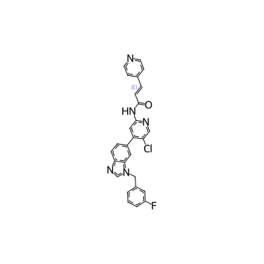 O=C(/C=C/c1ccncc1)Nc1cc(-c2ccc3ncn(Cc4cccc(F)c4)c3c2)c(Cl)cn1